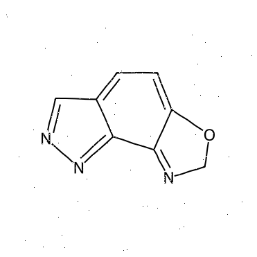 C1=NN=c2c1ccc1c2=NCO1